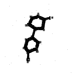 Clc1ccc(-c2cc(I)ncn2)cn1